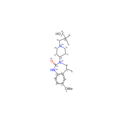 COc1ccc2c(c1)C(C)CN(C1CCN(CC(C)(C)C(=O)O)CC1)C(=O)N2